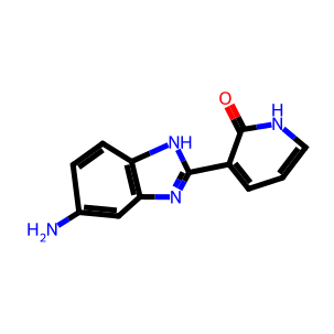 Nc1ccc2[nH]c(-c3ccc[nH]c3=O)nc2c1